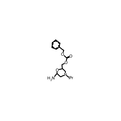 CC(C)N1CC(N)OC(COC(=O)OCc2ccccc2)C1